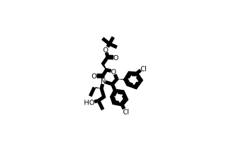 CC[C@@H](CC(C)O)N1C(=O)[C@@H](CC(=O)OC(C)(C)C)O[C@H](c2cccc(Cl)c2)C1c1ccc(Cl)cc1